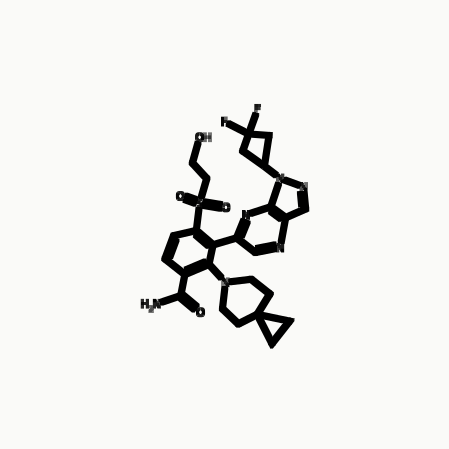 NC(=O)c1ccc(S(=O)(=O)CCO)c(-c2cnc3cnn(C4CC(F)(F)C4)c3n2)c1N1CCC2(CC1)CC2